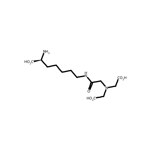 N[C@@H](CCCCCNC(=O)CN(CC(=O)O)CC(=O)O)C(=O)O